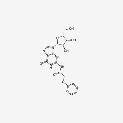 O=C(COc1ccccc1)Nc1nc2c(ncn2[C@@H]2O[C@H](CO)[C@@H](O)[C@H]2O)c(=O)[nH]1